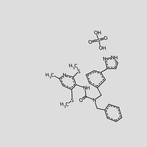 CSc1cc(C)nc(SC)c1NC(=O)N(Cc1ccccc1)Cc1cccc(-c2cc[nH]n2)c1.O=S(=O)(O)O